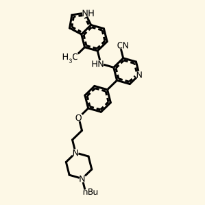 CCCCN1CCN(CCOc2ccc(-c3cncc(C#N)c3Nc3ccc4[nH]ccc4c3C)cc2)CC1